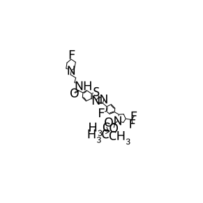 CC(C)(C)OC(=O)N1CC(C(F)F)CC1c1ccc(-c2cn3c(n2)sc2cc(C(=O)NCCCN4CCC(F)CC4)ccc23)c(F)c1